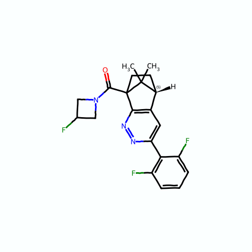 CC1(C)[C@@H]2CCC1(C(=O)N1CC(F)C1)c1nnc(-c3c(F)cccc3F)cc12